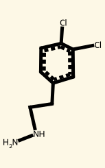 NNCCc1ccc(Cl)c(Cl)c1